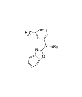 CCCCN(c1cccc(C(F)(F)F)c1)c1nc2ccccc2o1